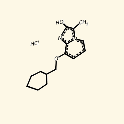 Cc1c(O)nc2c(OCC3CCCCC3)cccn12.Cl